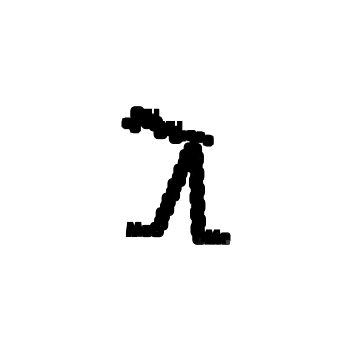 COCCOCCOCCOCCOCCOCCOCCOCCOCCOCCOCCOCCCC1(CCCOCCOCCOCCOCCOCCOCCOCCOCCOCCOCCOCCOC)c2cc(-c3ccccc3)ccc2-c2ccc(-c3ccc(OCCCCNC(=O)CCOCCOCCNC(=O)OCC4c5ccccc5-c5ccccc54)cc3)cc21